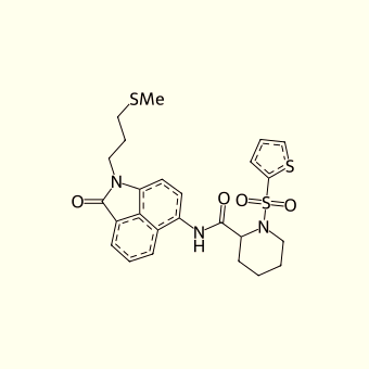 CSCCCN1C(=O)c2cccc3c(NC(=O)C4CCCCN4S(=O)(=O)c4cccs4)ccc1c23